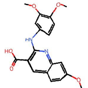 COc1ccc2cc(C(=O)O)c(Nc3ccc(OC)c(OC)c3)nc2c1